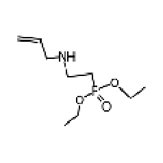 C=CCNCCP(=O)(OCC)OCC